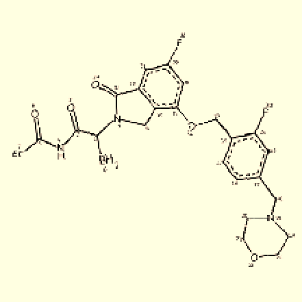 BC(C(=O)NC(=O)CC)N1Cc2c(OCc3ccc(CN4CCOCC4)cc3F)cc(F)cc2C1=O